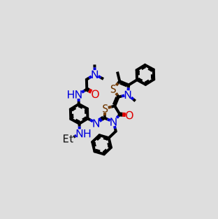 CCNc1ccc(NC(=O)CN(C)C)cc1N=C1SC(=C2SC(C)=C(c3ccccc3)N2C)C(=O)N1Cc1ccccc1